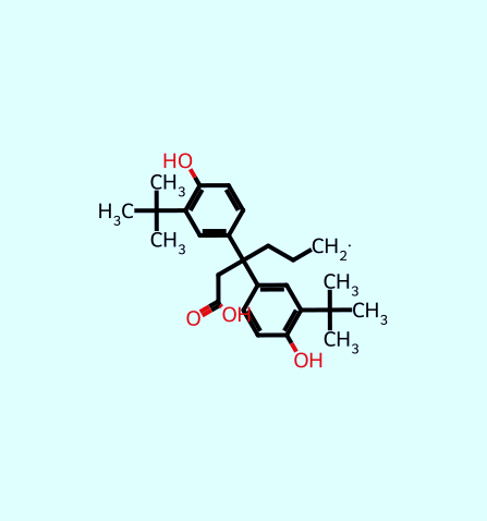 [CH2]CCC(CC(=O)O)(c1ccc(O)c(C(C)(C)C)c1)c1ccc(O)c(C(C)(C)C)c1